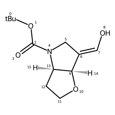 CC(C)(C)OC(=O)N1C/C(=C\O)[C@H]2OCC[C@H]21